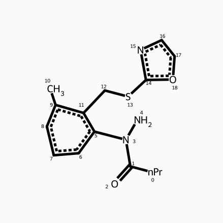 CCCC(=O)N(N)c1cccc(C)c1CSc1ncco1